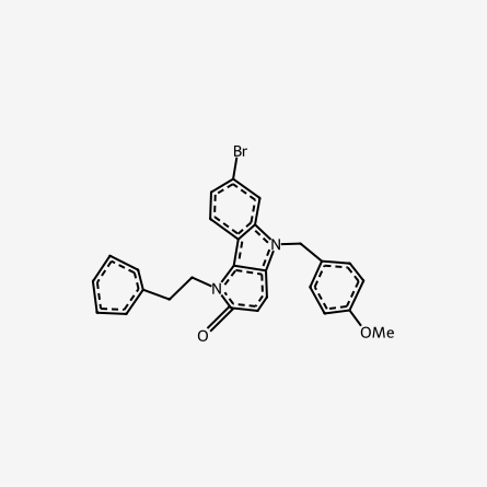 COc1ccc(Cn2c3cc(Br)ccc3c3c2ccc(=O)n3CCc2ccccc2)cc1